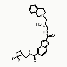 O=C(NCC1CCC1(F)F)c1ccc2nc(C(=O)NC[C@H](O)CN3CCc4ccccc4C3)cn2c1